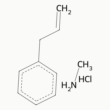 C=CCc1ccccc1.CN.Cl